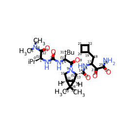 CC(C)[C@H](NC(=O)N[C@H](C(=O)N1C[C@H]2[C@@H]([C@H]1C(=O)NC(CC1CCC1)C(=O)C(N)=O)C2(C)C)C(C)(C)C)C(=O)N(C)C